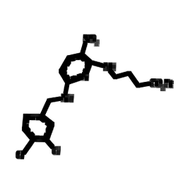 CCOC(=O)CCCNc1nc(NCc2ccc(Cl)c(Cl)c2)ccc1[N+](=O)[O-]